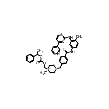 Cc1ccc(NC(=O)c2ccc(CN3CC[N+](C)(COC(=O)OC(C)c4ccccc4)CC3)cc2)cc1Nc1nccc(-c2cccnc2)n1